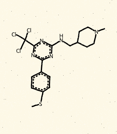 CSc1ccc(-c2nc(NCC3CCN(C)CC3)nc(C(Cl)(Cl)Cl)n2)cc1